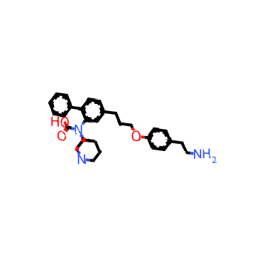 NCCc1ccc(OCCCc2ccc(-c3ccccc3)c(N(C(=O)O)C3CN4CCC3CC4)c2)cc1